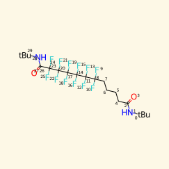 CC(C)(C)NC(=O)CCCCC(F)(F)C(F)(F)C(F)(F)C(F)(F)C(F)(F)C(F)(F)C(=O)NC(C)(C)C